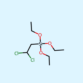 CCO[Si](CC(Cl)Cl)(OCC)OCC